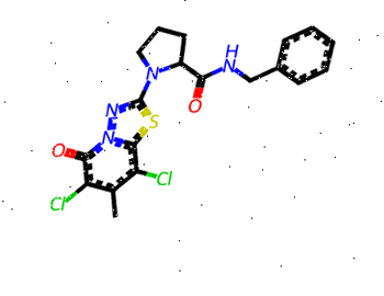 Cc1c(Cl)c(=O)n2nc(N3CCCC3C(=O)NCc3ccccc3)sc2c1Cl